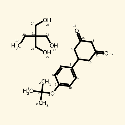 CC(C)(C)Oc1ccc(C2CC(=O)CC(=O)C2)cc1.CCC(CO)(CO)CO